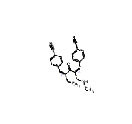 CC/C(=C/c1ccc(C#N)cc1)C(=O)/C(=C\c1ccc(C#N)cc1)CNC